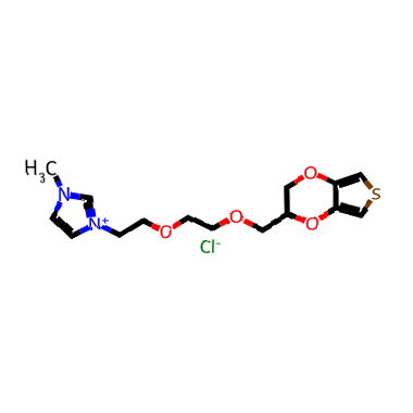 Cn1cc[n+](CCOCCOCC2COc3cscc3O2)c1.[Cl-]